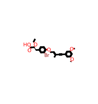 CCO[C@@H](Cc1ccc(OC/C=C(\C)C#Cc2cc(OC)cc(OC)c2)c(Br)c1)C(=O)O